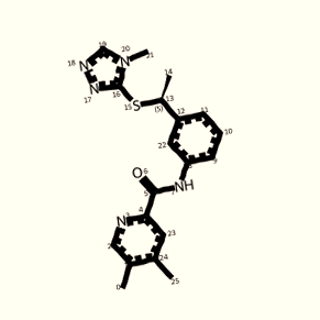 Cc1cnc(C(=O)Nc2cccc([C@H](C)Sc3nncn3C)c2)cc1C